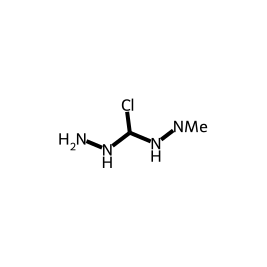 CNNC(Cl)NN